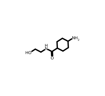 NC1CCC(C(=O)NCCO)CC1